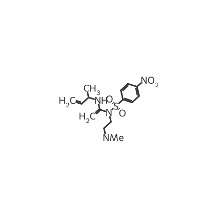 C=CC(C)NC(=C)N(CCNC)S(=O)(=O)c1ccc([N+](=O)[O-])cc1